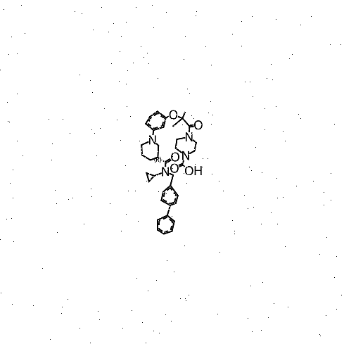 CC(C)(Oc1cccc(N2CCC[C@@H](C(=O)N(Cc3ccc(-c4ccccc4)cc3)C3CC3)C2)c1)C(=O)N1CCN(C(=O)O)CC1